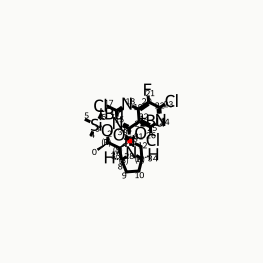 C[C@@H](O[Si](C)(C)C(C)(C)C)[C@@H]1[C@@H]2CC[C@H](CN1c1nc(Cl)nc3c(F)c(Cl)nc(Cl)c13)N2C(=O)OC(C)(C)C